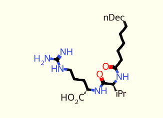 CCCCCCCCCCCCCCCC(=O)N[C@H](C(=O)N[C@@H](CCCNC(=N)N)C(=O)O)C(C)C